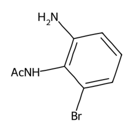 CC(=O)Nc1c(N)cccc1Br